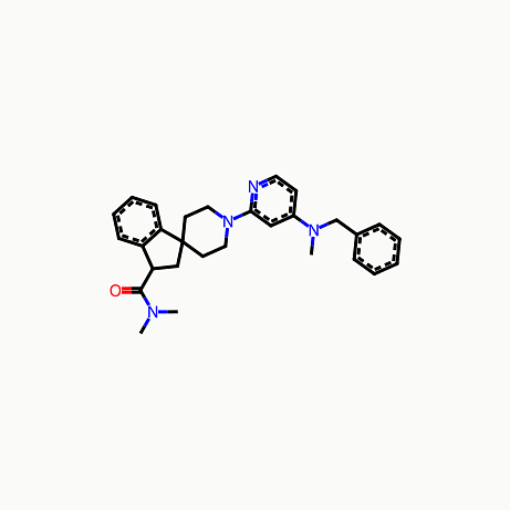 CN(C)C(=O)C1CC2(CCN(c3cc(N(C)Cc4ccccc4)ccn3)CC2)c2ccccc21